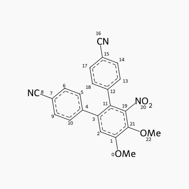 COc1cc(-c2ccc(C#N)cc2)c(-c2ccc(C#N)cc2)c([N+](=O)[O-])c1OC